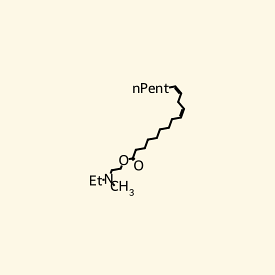 CCCCC/C=C\C/C=C\CCCCCCCC(=O)OCCN(C)CC